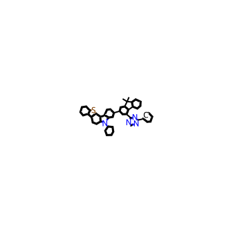 CC1(C)c2ccccc2-c2c(-c3ncnc(-c4ccccc4)n3)cc(-c3ccc4c5c6sc7ccccc7c6ccc5n(-c5ccccc5)c4c3)cc21